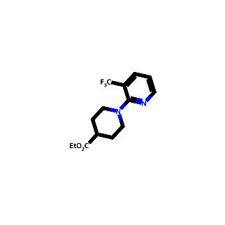 CCOC(=O)C1CCN(c2ncccc2C(F)(F)F)CC1